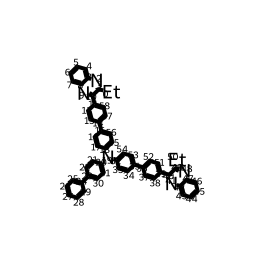 CCc1nc2ccccc2nc1-c1ccc(-c2ccc(N(c3ccc(-c4ccccc4)cc3)c3ccc(-c4ccc(-c5nc6ccccc6nc5CC)cc4)cc3)cc2)cc1